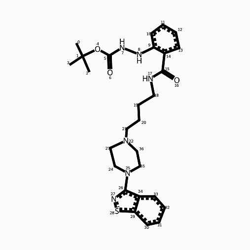 CC(C)(C)OC(=O)NNc1ccccc1C(=O)NCCCCN1CCN(c2nsc3ccccc23)CC1